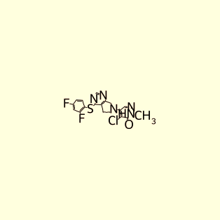 CN/N=C\C(=C(\Cl)C=O)N1CCc2c(ncnc2Sc2ccc(F)cc2F)C1